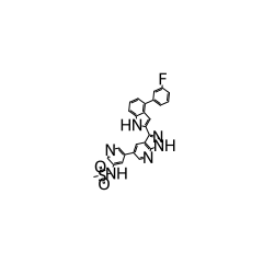 CS(=O)(=O)Nc1cncc(-c2cnc3[nH]nc(-c4cc5c(-c6cccc(F)c6)cccc5[nH]4)c3c2)c1